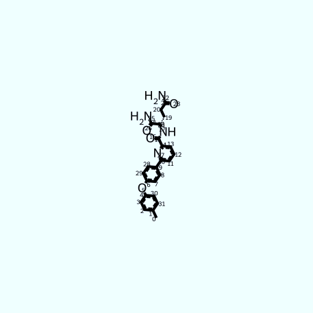 Cc1ccc(Oc2ccc(-c3cccc(C(=O)N[C@@H](CCC(N)=O)C(N)=O)n3)cc2)cc1